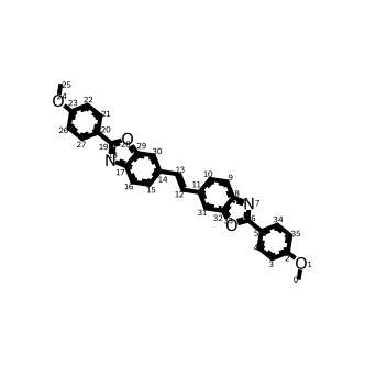 COc1ccc(-c2nc3ccc(C=Cc4ccc5nc(-c6ccc(OC)cc6)oc5c4)cc3o2)cc1